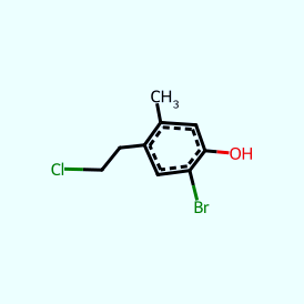 Cc1cc(O)c(Br)cc1CCCl